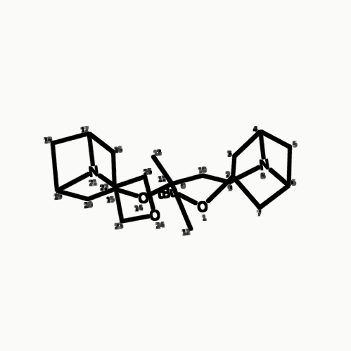 CC(C)(C)OC1CC2CC(C1)N2CCC(C)(C)OC1CC2CC(C1)N2C1COC1